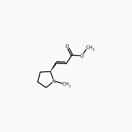 COC(=O)/C=C/[C@@H]1CCCN1C